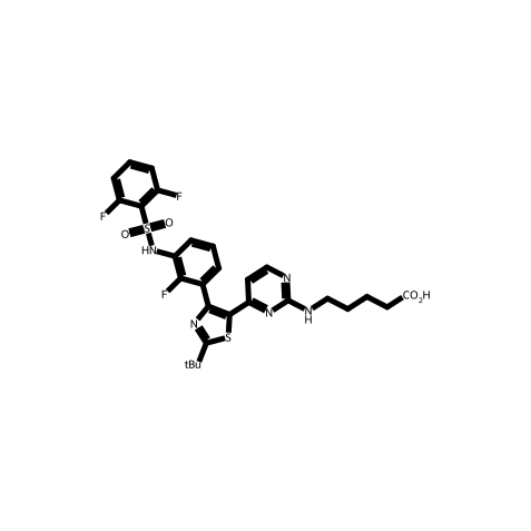 CC(C)(C)c1nc(-c2cccc(NS(=O)(=O)c3c(F)cccc3F)c2F)c(-c2ccnc(NCCCCC(=O)O)n2)s1